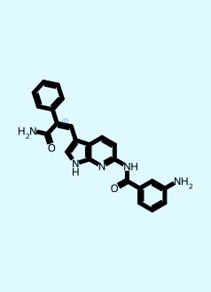 NC(=O)/C(=C\c1c[nH]c2nc(NC(=O)c3cccc(N)c3)ccc12)c1ccccc1